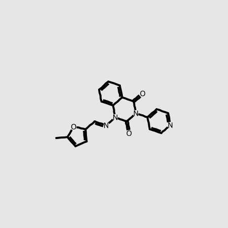 Cc1ccc(C=Nn2c(=O)n(-c3ccncc3)c(=O)c3ccccc32)o1